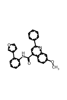 COc1ccc2c(C(=O)Nc3ccccc3-c3ccoc3)cc(-c3ccccc3)nc2c1